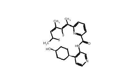 CC(=C/C(C)F)/C(F)=C(\C)c1cccc(C(=O)Nc2cnccc2[C@H]2CC[C@@H](O)CC2)n1